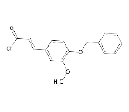 COc1cc(C=CC(=O)Cl)ccc1OCc1ccccc1